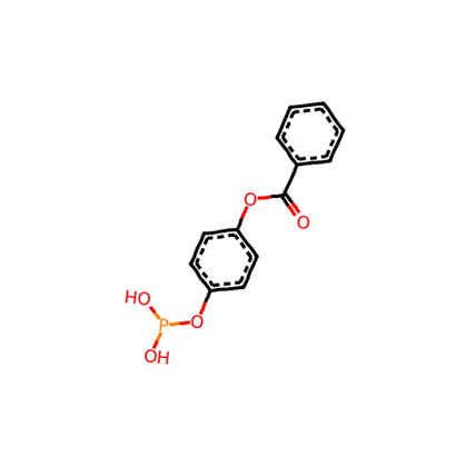 O=C(Oc1ccc(OP(O)O)cc1)c1ccccc1